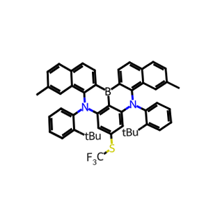 Cc1ccc2ccc3c(c2c1)N(c1ccccc1C(C)(C)C)c1cc(SC(F)(F)F)cc2c1B3c1ccc3ccc(C)cc3c1N2c1ccccc1C(C)(C)C